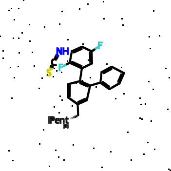 CCC[C@@H](C)Cc1ccc(-c2cc(F)ccc2F)c(-c2ccccc2)c1.N=C=S